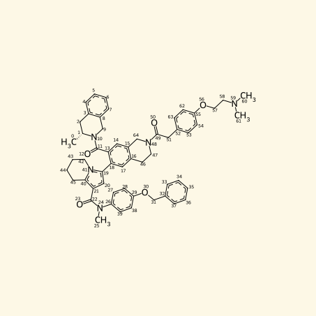 C[C@@H]1Cc2ccccc2CN1C(=O)c1cc2c(cc1-c1cc(C(=O)N(C)c3ccc(OCc4ccccc4)cc3)c3n1CCCC3)CCN(C(=O)Cc1ccc(OCCN(C)C)cc1)C2